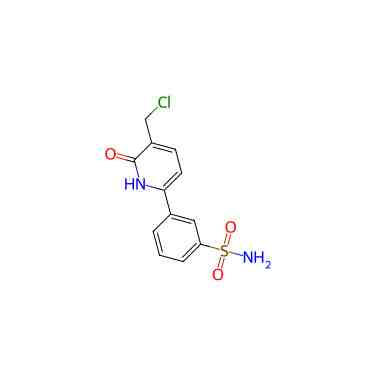 NS(=O)(=O)c1cccc(-c2ccc(CCl)c(=O)[nH]2)c1